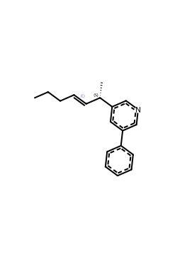 CCC/C=C/[C@H](C)c1cncc(-c2ccccc2)c1